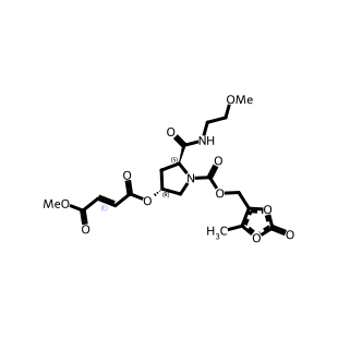 COCCNC(=O)[C@@H]1C[C@@H](OC(=O)/C=C/C(=O)OC)CN1C(=O)OCc1oc(=O)oc1C